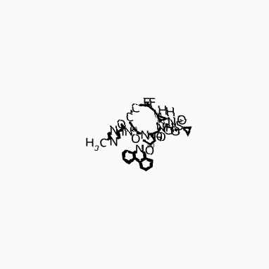 Cc1cnc(C(=O)N[C@H]2CCCCCC(F)(F)C[C@@H]3C[C@@]3(C(=O)NS(=O)(=O)C3CC3)NC(=O)[C@@H]3C[C@@H](Oc4nc5ccccc5c5ccccc45)CN3C2=O)cn1